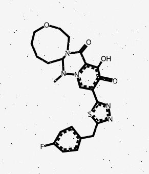 CN1C2CCCCOCCN2C(=O)c2c(O)c(=O)c(-c3nnc(Cc4ccc(F)cc4)s3)cn21